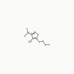 [Li][C]1=C(CCCC)CC=C1C(C)C